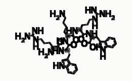 N=C(N)NCCC[C@H](NC(=O)[C@H](CCCCN)NC(=O)[C@H](Cc1c[nH]c2ccccc12)NC(=O)[C@@H](N)CCCNC(=N)N)C(=O)N[C@@H](Cc1c[nH]c2ccccc12)C(=O)O